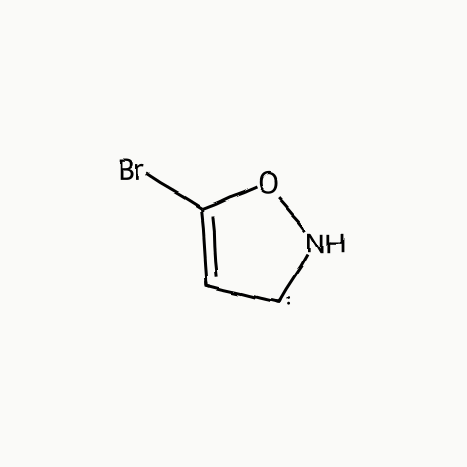 BrC1=C[C]NO1